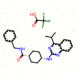 CC(C)c1nc(N[C@H]2CC[C@@H](C(=O)NCc3ccccc3)CC2)nc2ccccc12.O=C(O)C(F)(F)F